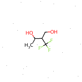 C[C](O)C(CO)C(F)(F)F